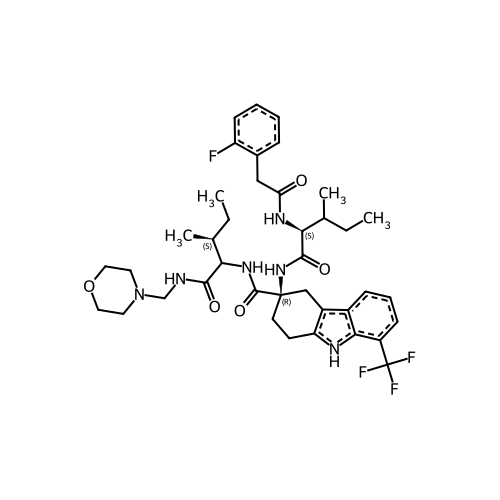 CCC(C)[C@H](NC(=O)Cc1ccccc1F)C(=O)N[C@]1(C(=O)NC(C(=O)NCN2CCOCC2)[C@@H](C)CC)CCc2[nH]c3c(C(F)(F)F)cccc3c2C1